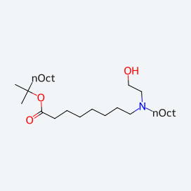 CCCCCCCCN(CCO)CCCCCCCC(=O)OC(C)(C)CCCCCCCC